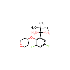 BC(B)(c1cc(F)cc(F)c1OC1CCOCC1)C(C)(C)C